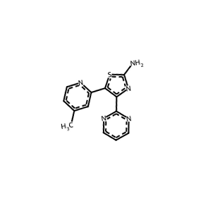 Cc1ccnc(-c2sc(N)nc2-c2ncccn2)c1